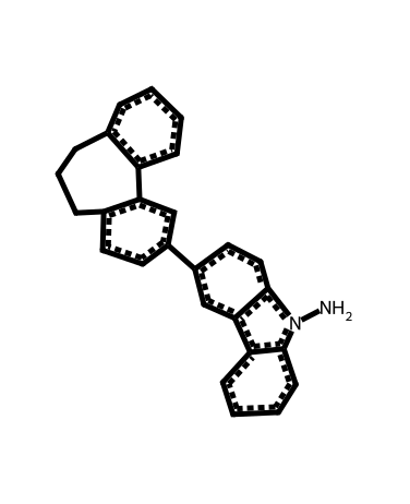 Nn1c2ccccc2c2cc(-c3ccc4c(c3)-c3ccccc3CCC4)ccc21